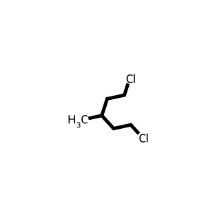 CC(CCCl)CCCl